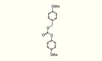 COc1ccc(COC(=O)Oc2ccc(SC)cc2)cc1